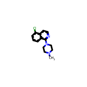 CN1CCN(c2nccc3c(Cl)cccc23)CC1